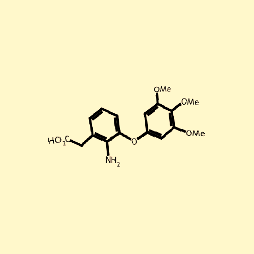 COc1cc(Oc2cccc(CC(=O)O)c2N)cc(OC)c1OC